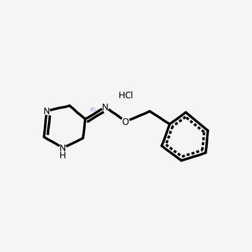 C1=NC/C(=N/OCc2ccccc2)CN1.Cl